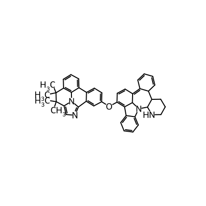 CC1(C)c2cccc3c4ccc(OC5=C6c7ccccc7N7C6C(=C6C=CC=CC6C6CCCNC67)C=C5)cc4c4ncc(n4c23)C1(C)C